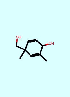 CC1=CC(C)(CO)C=CC1O